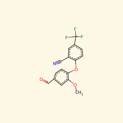 COc1cc(C=O)ccc1Oc1ccc(C(F)(F)F)cc1C#N